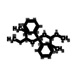 CCC(OC)O[Si](OC(CC)OC)(c1ccccc1)c1ccccc1